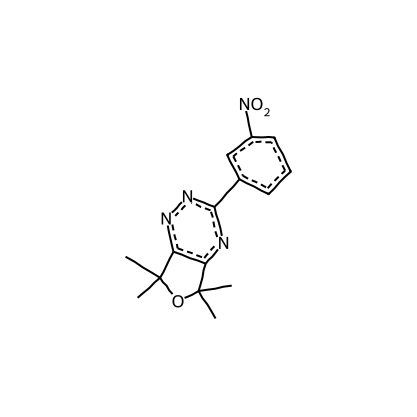 CC1(C)OC(C)(C)c2nc(-c3cccc([N+](=O)[O-])c3)nnc21